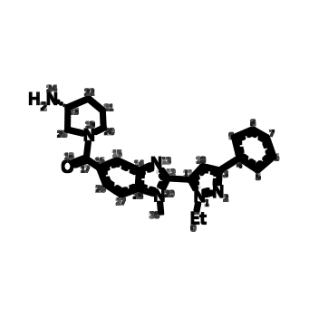 CCn1nc(-c2ccccc2)cc1-c1nc2cc(C(=O)N3CCC[C@@H](N)C3)ccc2n1C